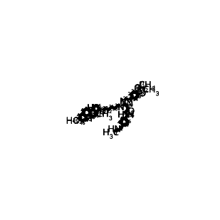 CNCc1ccc(-c2cc(-c3nc(-c4ccc(S(=O)(=O)C(C)C)cc4)cnc3NCCCCCO[C@H]3CC[C@H]4[C@@H]5CCc6cc(O)ccc6[C@H]5CC[C@]34C)on2)cc1